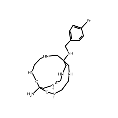 CCc1ccc(CNC23CNCCNCC(N)(CNCCNC2)CNCCNC3)cc1